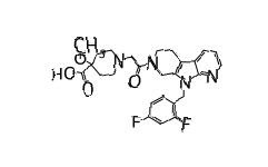 COC1(C(=O)O)CCN(CC(=O)N2CCc3c(n(Cc4ccc(F)cc4F)c4ncccc34)C2)CC1